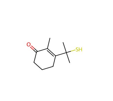 CC1=C(C(C)(C)S)CCCC1=O